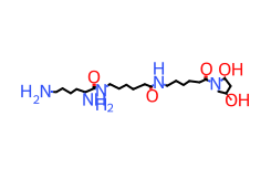 NCCCC[C@@H](N)C(=O)NCCCCCC(=O)NCCCCCC(=O)N1C[C@H](O)C[C@H]1O